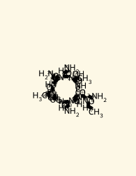 CCCC(=O)N[C@@H](CCN)C(=O)N[C@H]1CCNC(=O)[C@H]([C@@H](C)O)NC(=O)[C@H](CCN)NC(=O)[C@H](CCN)NC(=O)[C@H](CC(C)C)NC(=O)CNC(=O)[C@H](CCN)NC1=O